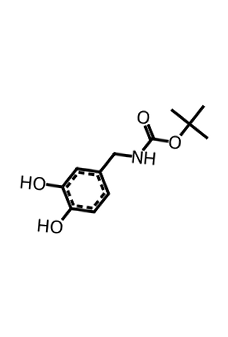 CC(C)(C)OC(=O)NCc1ccc(O)c(O)c1